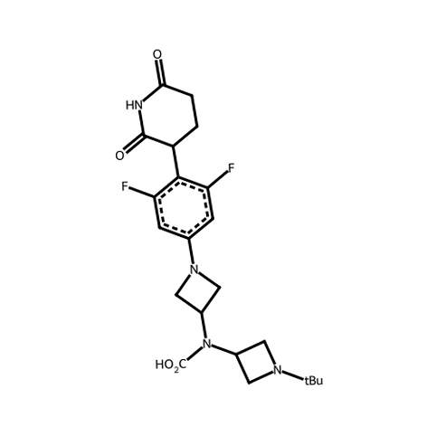 CC(C)(C)N1CC(N(C(=O)O)C2CN(c3cc(F)c(C4CCC(=O)NC4=O)c(F)c3)C2)C1